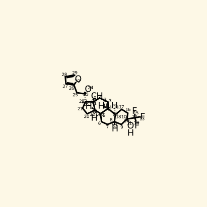 C[C@]12CC[C@H]3[C@@H](CC[C@H]4C[C@@](O)(C(F)(F)F)CC[C@@H]43)[C@@H]1CC[C@@H]2C(=O)Cc1ccco1